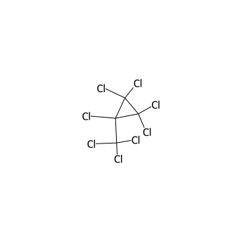 ClC(Cl)(Cl)C1(Cl)C(Cl)(Cl)C1(Cl)Cl